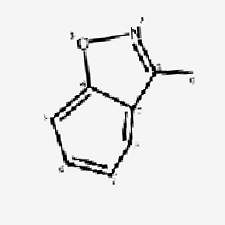 Cc1noc2cc[c]cc12